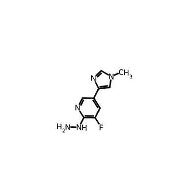 Cn1cnc(-c2cnc(NN)c(F)c2)c1